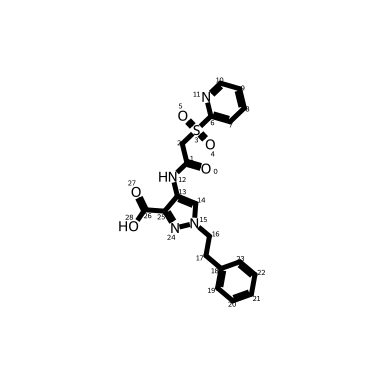 O=C(CS(=O)(=O)c1ccccn1)Nc1cn(CCc2ccccc2)nc1C(=O)O